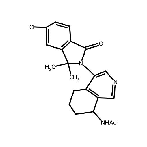 CC(=O)NC1CCCc2c1cncc2N1C(=O)c2ccc(Cl)cc2C1(C)C